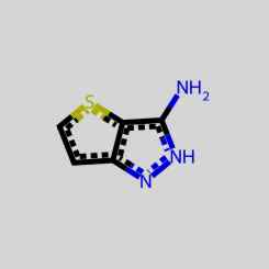 Nc1[nH]nc2ccsc12